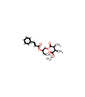 CCC(COC(=O)C(C)C(C)C(=O)OC)OC(=O)/C=C/c1ccccc1